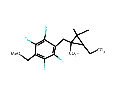 COCc1c(F)c(F)c(CC2(C(=O)O)C(CC(Cl)(Cl)Cl)C2(C)C)c(F)c1F